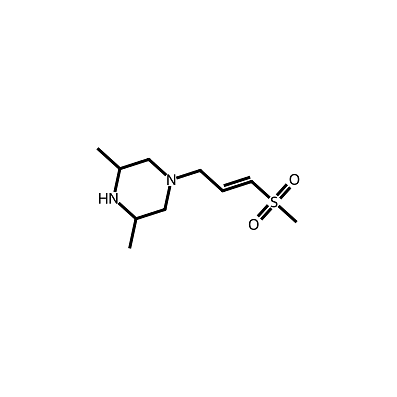 CC1CN(C/C=C/S(C)(=O)=O)CC(C)N1